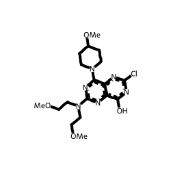 COCCN(CCOC)c1nc(N2CCC(OC)CC2)c2nc(Cl)nc(O)c2n1